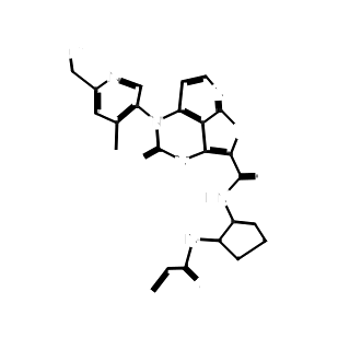 C=CC(=O)NC1CCCC1NC(=O)c1sc2nccc3c2c1NC(=O)N3c1cnc(CC(C)C)cc1C